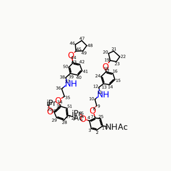 CC(=O)Nc1ccc(OC(C)C)c(OCCNCc2cccc(OC3CCCC3)c2)c1.CC(=O)c1ccc(OC(C)C)c(OCCNCc2cccc(OC3CCCC3)c2)c1